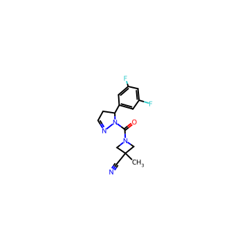 CC1(C#N)CN(C(=O)N2N=CCC2c2cc(F)cc(F)c2)C1